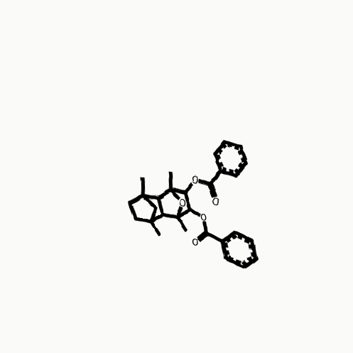 CC12CCC(C)(C1)C1C2C2(C)OC1(C)C(OC(=O)c1ccccc1)C2OC(=O)c1ccccc1